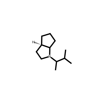 CC(C)C(C)N1CC[C@H]2CCCC21